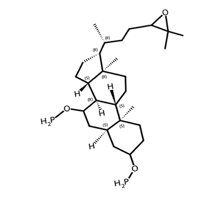 C[C@H](CCC1OC1(C)C)[C@H]1CC[C@H]2[C@@H]3C(OP)C[C@@H]4CC(OP)CC[C@]4(C)[C@H]3CC[C@]12C